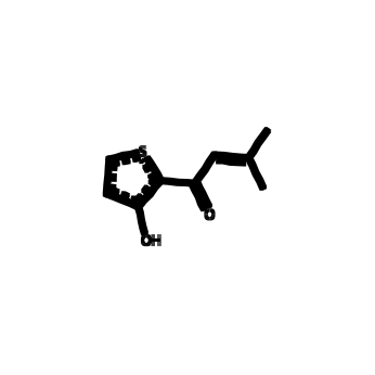 CC(C)=CC(=O)c1sccc1O